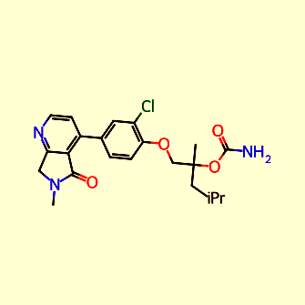 CC(C)CC(C)(COc1ccc(-c2ccnc3c2C(=O)N(C)C3)cc1Cl)OC(N)=O